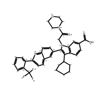 O=C(O)c1ccc2c(C3CCCCC3)c(-c3ccc4nc(-c5ccccc5C(F)(F)F)ccc4c3)n(CC(=O)N3CCOCC3)c2c1